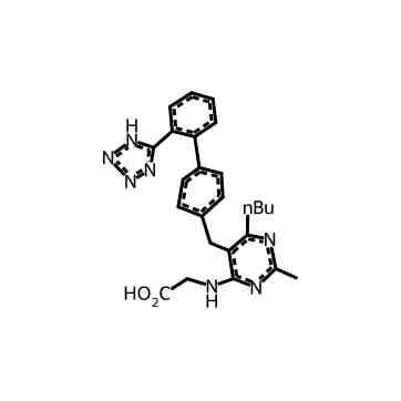 CCCCc1nc(C)nc(NCC(=O)O)c1Cc1ccc(-c2ccccc2-c2nnn[nH]2)cc1